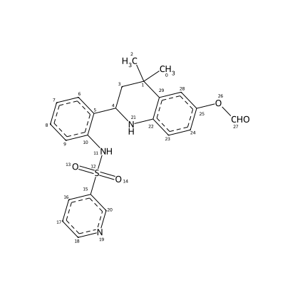 CC1(C)CC(c2ccccc2NS(=O)(=O)c2cccnc2)Nc2ccc(OC=O)cc21